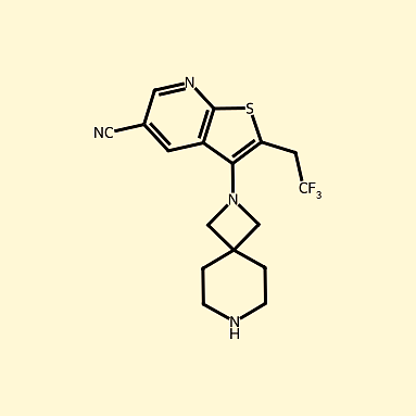 N#Cc1cnc2sc(CC(F)(F)F)c(N3CC4(CCNCC4)C3)c2c1